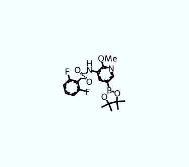 COc1ncc(B2OC(C)(C)C(C)(C)O2)cc1NS(=O)(=O)c1c(F)cccc1F